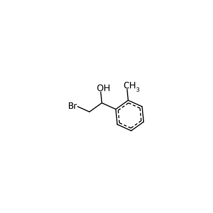 Cc1ccccc1C(O)CBr